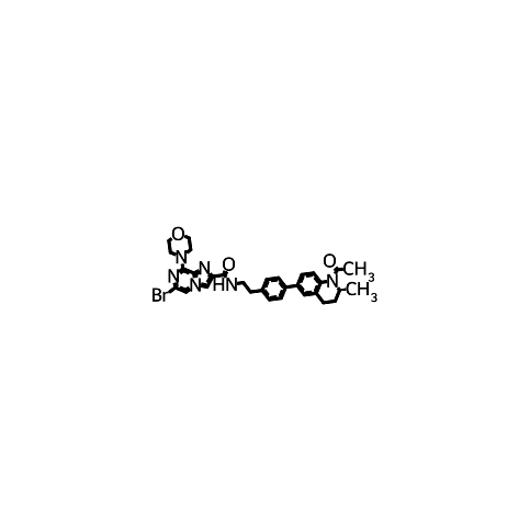 CC(=O)N1c2ccc(-c3ccc(CCNC(=O)c4cn5cc(Br)nc(N6CCOCC6)c5n4)cc3)cc2CC[C@@H]1C